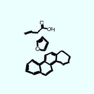 CCCC(=O)O.c1ccc2c(c1)ccc1c3c(ccc12)CCCC3.c1ccoc1